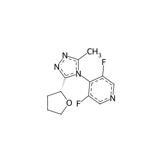 Cc1nnc([C@H]2CCCO2)n1-c1c(F)cncc1F